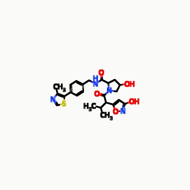 Cc1ncsc1-c1ccc(CNC(=O)C2CC(O)CN2C(=O)C(c2cc(O)no2)C(C)C)cc1